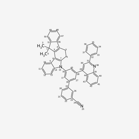 CC1(C)C2=C(CCc3c2c2ccccc2n3-c2cc(-c3cccc(C#N)c3)cc(-c3cc(-c4ccccc4)nc4ccccc34)c2)c2ccccc21